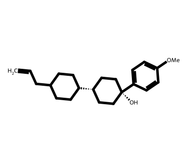 C=CCC1CCC([C@H]2CC[C@](O)(c3ccc(OC)cc3)CC2)CC1